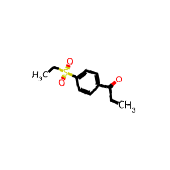 CCC(=O)c1ccc(S(=O)(=O)CC)cc1